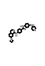 c1cc(Nc2ccc3[nH]c(-c4ccc(Nc5nccc6ccc(N7CCC7)cc56)cc4)nc3c2)ccn1